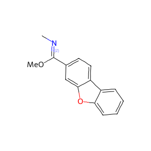 C/N=C(\OC)c1ccc2c(c1)oc1ccccc12